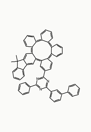 CC1(C)c2ccccc2-c2cc3c4cc(-c5nc(-c6ccccc6)nc(-c6cccc(-c7ccccc7)c6)n5)ccc4c4ccccc4c4ccccc4c4ccccc4c3cc21